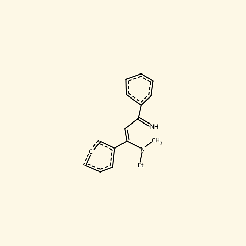 CCN(C)/C(=C\C(=N)c1ccccc1)c1ccccc1